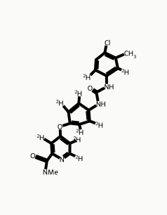 [2H]c1cc(Cl)c(C)c([2H])c1NC(=O)Nc1c([2H])c([2H])c(Oc2c([2H])c([2H])nc(C(=O)NC)c2[2H])c([2H])c1[2H]